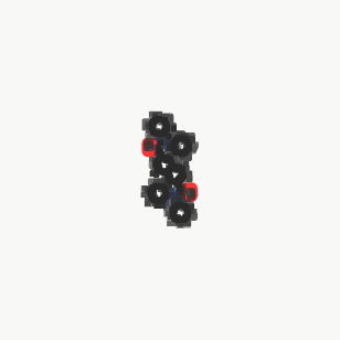 O=C(c1ccc2cc(C(=O)N(C3CCCCC3)C3CCCCC3)ccc2c1)N(C1CCCCC1)C1CCCCC1